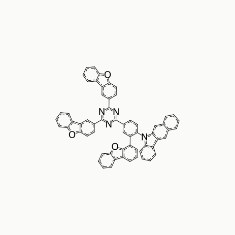 c1ccc2cc3c(cc2c1)c1ccccc1n3-c1ccc(-c2nc(-c3ccc4oc5ccccc5c4c3)nc(-c3ccc4oc5ccccc5c4c3)n2)cc1-c1cccc2c1oc1ccccc12